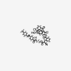 CN(C)c1ccc(/N=N/c2ccc(C(=O)NCCCOC(=O)/C(C#N)=C/c3ccccc3C(=O)Oc3cc4c(cc3Cl)C3(OC(=O)c5ccccc53)c3cc(Cl)c(O)cc3O4)cc2)cc1